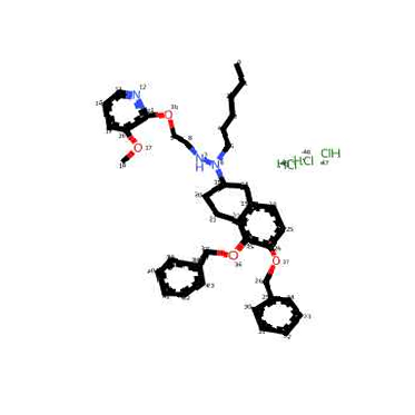 CCCCCCN(NCCOc1ncccc1OC)C1CCc2c(ccc(OCc3ccccc3)c2OCc2ccccc2)C1.Cl.Cl.Cl